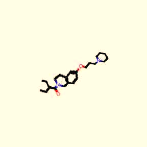 CCC(CC)C(=O)N1CCc2cc(OCCCN3CCCCC3)ccc2C1